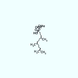 CO[PH](=O)OP(=O)(O)CCC=C(C)CCC=C(C)CCC=C(C)C